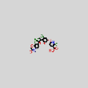 CC(c1ccc(Oc2ccc(C(=O)O)c(Cl)n2)cc1Cl)C(O)(c1ccc2c(c1)OCC(=O)N2C)C(F)(F)F